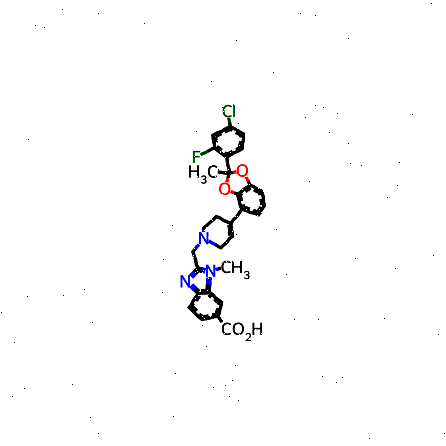 Cn1c(CN2CC=C(c3cccc4c3OC(C)(c3ccc(Cl)cc3F)O4)CC2)nc2ccc(C(=O)O)cc21